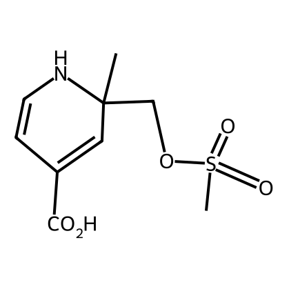 CC1(COS(C)(=O)=O)C=C(C(=O)O)C=CN1